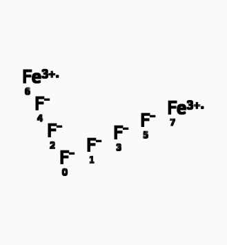 [F-].[F-].[F-].[F-].[F-].[F-].[Fe+3].[Fe+3]